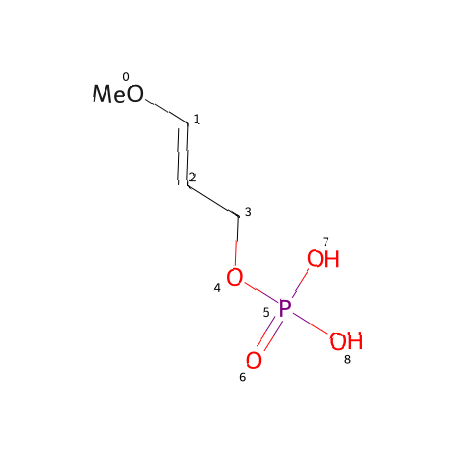 COC=CCOP(=O)(O)O